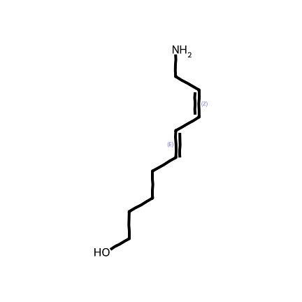 NC/C=C\C=C\CCCCO